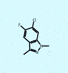 Cc1nn(C)c2cc(Cl)c(F)cc12